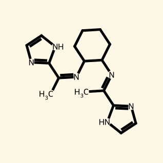 CC(=NC1CCCCC1N=C(C)c1ncc[nH]1)c1ncc[nH]1